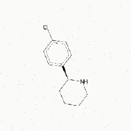 Clc1ccc([C@@H]2CCCCN2)cc1